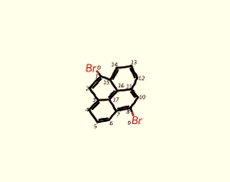 Brc1cc2cccc3c(Br)cc4cccc1c4c23